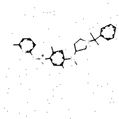 CN(c1cc(F)c(S(=O)(=O)Nc2cccc(F)n2)cc1Cl)C1CCN(C(C)(C)c2ccccc2)C1